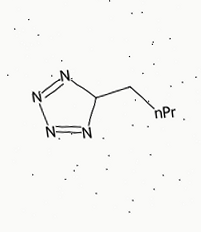 CCCCC1N=NN=N1